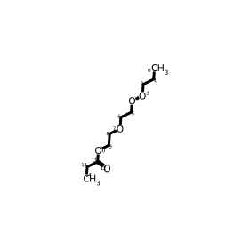 CCCOOCCOCCOC(=O)CC